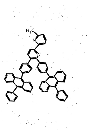 Cc1cccc(-c2ccc(-c3ccc(-c4c5ccccc5c(-c5ccccc5)c5ccccc45)cc3)c(-c3ccc(-c4c5ccccc5c(-c5ccccc5)c5ccccc45)cc3)n2)n1